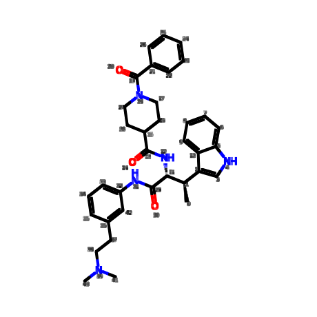 C[C@H](c1c[nH]c2ccccc12)[C@@H](NC(=O)C1CCN(C(=O)c2ccccc2)CC1)C(=O)Nc1cccc(CCN(C)C)c1